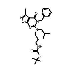 Cc1noc2nc(N(CCCNC(=O)OC(C)(C)C)CC(C)C)n(Cc3ccccc3)c(=O)c12